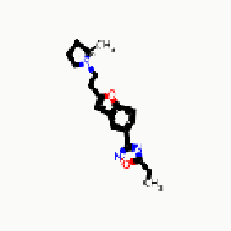 CCc1nc(-c2ccc3oc(CCN4CCC[C@H]4C)cc3c2)no1